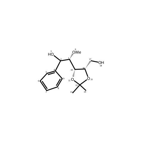 CO[C@@H](C(O)c1ccccc1)[C@H]1OC(C)(C)O[C@H]1CO